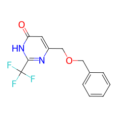 O=c1cc(COCc2ccccc2)nc(C(F)(F)F)[nH]1